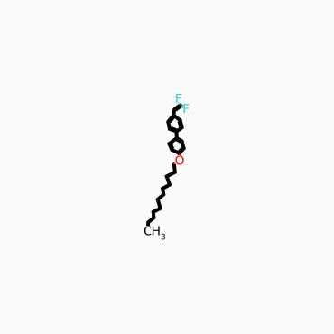 CCCCCCCCCCCCOc1ccc(-c2ccc(C=C(F)F)cc2)cc1